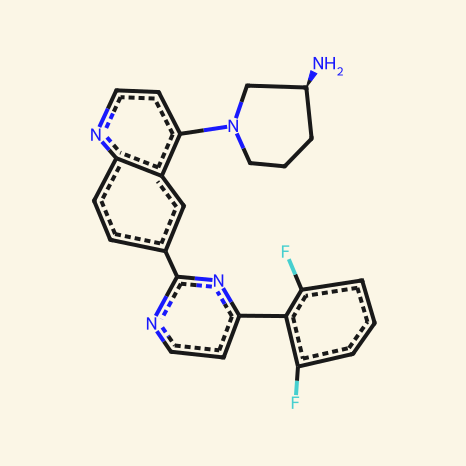 N[C@H]1CCCN(c2ccnc3ccc(-c4nccc(-c5c(F)cccc5F)n4)cc23)C1